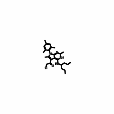 CCCC(CCC)NC1=c2c(C(=O)CCl)c(C)n(-c3c(C)cc(C)cc3C)c2=NC(C)N1